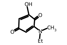 CCN(C)C1=CC(=O)C=C(O)C1=O